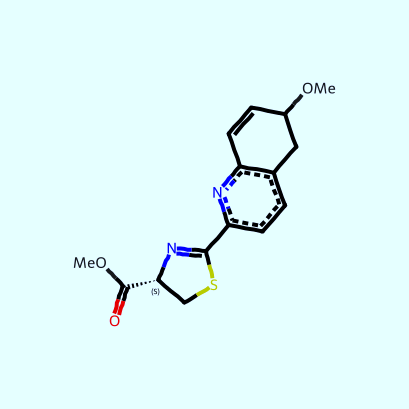 COC(=O)[C@H]1CSC(c2ccc3c(n2)C=CC(OC)C3)=N1